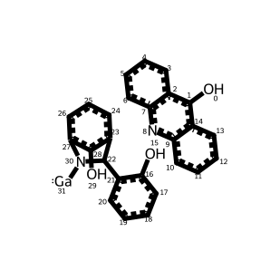 Oc1c2ccccc2nc2ccccc12.Oc1ccccc1C1c2cccc(c2O)[N]1[Ga]